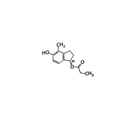 CCC(=O)O[C@@H]1CCc2c1ccc(O)c2C